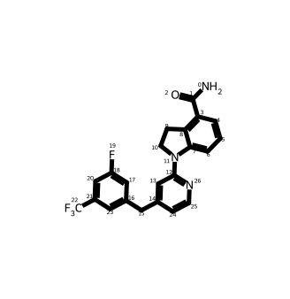 NC(=O)c1cccc2c1CCN2c1cc(Cc2cc(F)cc(C(F)(F)F)c2)ccn1